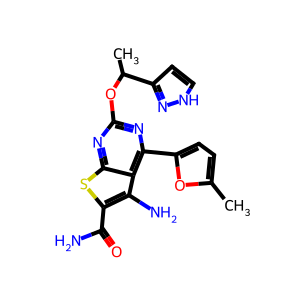 Cc1ccc(-c2nc(OC(C)c3cc[nH]n3)nc3sc(C(N)=O)c(N)c23)o1